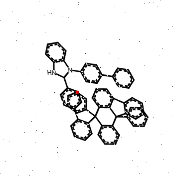 c1ccc(-c2ccc(N3c4ccccc4NC3c3ccc(-c4ccccc4C4(c5ccccc5)c5ccccc5C5(c6ccccc6)c6ccccc6-c6cccc4c65)cc3)cc2)cc1